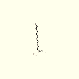 CCC=CCCCCCCCCN(C)C